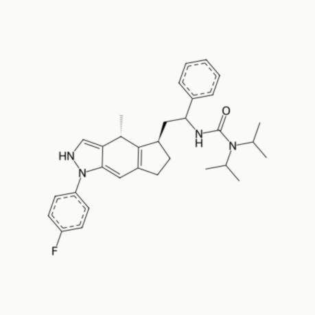 CC(C)N(C(=O)NC(C[C@H]1CCC2=C1[C@@H](C)C1=CNN(c3ccc(F)cc3)C1=C2)c1ccccc1)C(C)C